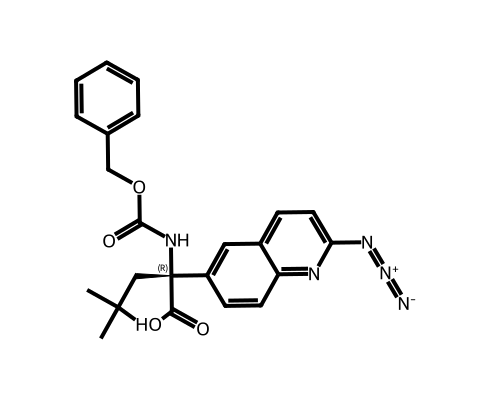 CC(C)(C)C[C@](NC(=O)OCc1ccccc1)(C(=O)O)c1ccc2nc(N=[N+]=[N-])ccc2c1